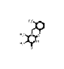 Bc1c(C)n(Cc2c(F)cccc2C(F)(F)F)c(=O)[nH]c1=O